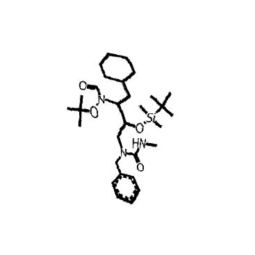 CNC(=O)N(Cc1ccccc1)CC(O[Si](C)(C)C(C)(C)C)C(CC1CCCCC1)N(C=O)OC(C)(C)C